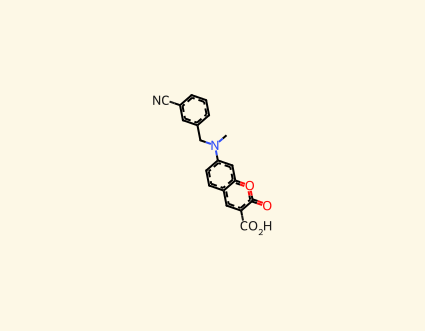 CN(Cc1cccc(C#N)c1)c1ccc2cc(C(=O)O)c(=O)oc2c1